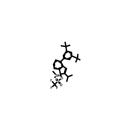 CC(C)C1=Cc2c(-c3cc(C(C)(C)C)cc(C(C)(C)C)c3)cccc2C1(OS(=O)(=O)C(F)(F)F)[SiH](C)C